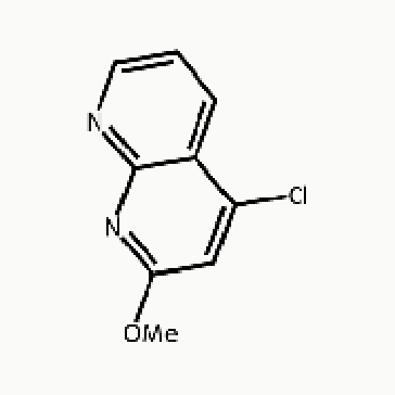 COc1cc(Cl)c2cccnc2n1